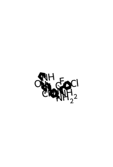 C[C@H](c1ccc(Cl)cc1F)N(N)c1cc(N2CCN(C(=O)[C@H]3CCCN3)C[C@@H]2C)ccc1N